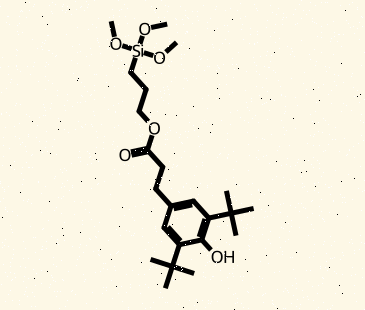 CO[Si](CCCOC(=O)CCc1cc(C(C)(C)C)c(O)c(C(C)(C)C)c1)(OC)OC